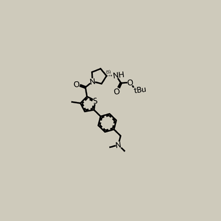 Cc1cc(-c2ccc(CN(C)C)cc2)sc1C(=O)N1CC[C@H](NC(=O)OC(C)(C)C)C1